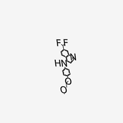 COCCOc1ccc(Nc2ccnc3cc(C(F)F)ccc23)cc1